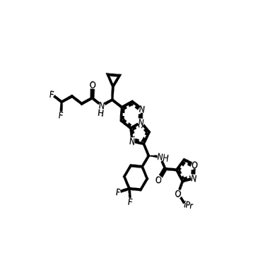 CC(C)Oc1nocc1C(=O)N[C@H](c1cn2ncc(C(NC(=O)CCC(F)F)C3CC3)cc2n1)C1CCC(F)(F)CC1